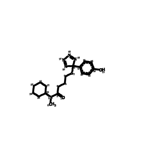 CN(C(=O)CCCSC1(c2ccc(O)cc2)N=NN=N1)C1CCCCC1